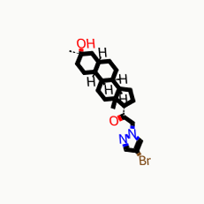 CC12CC[C@H]3[C@@H](CC[C@@H]4C[C@](C)(O)CC[C@@H]43)[C@@H]1CC[C@@H]2C(=O)Cn1cc(Br)cn1